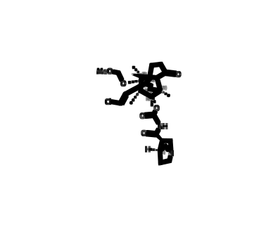 COCO[C@H]1[C@H](C)C23CCC(=O)C2[C@@](C)([C@H](C)CC3)[C@H](OC(=O)NC(=O)[C@H]2CN3CC[C@@H]2C3)C[C@@]1(C)C=CCl